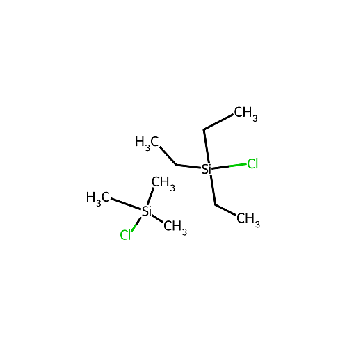 CC[Si](Cl)(CC)CC.C[Si](C)(C)Cl